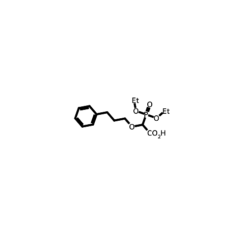 CCOP(=O)(OCC)C(OCCCc1ccccc1)C(=O)O